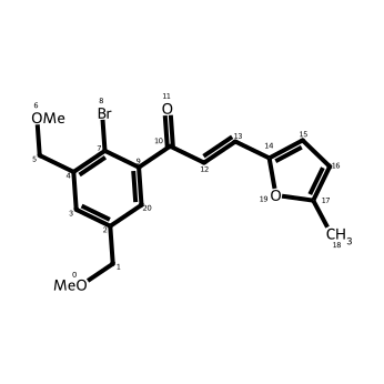 COCc1cc(COC)c(Br)c(C(=O)/C=C/c2ccc(C)o2)c1